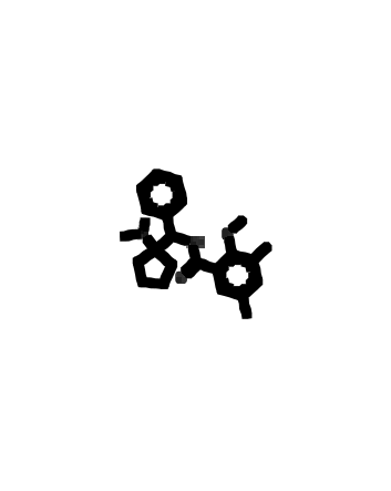 COc1c(C)cc(C)cc1C(=O)NC(c1ccccc1)C1(N(C)C)CCCC1